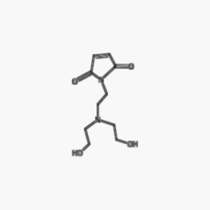 O=C1C=CC(=O)N1CCN(CCO)CCO